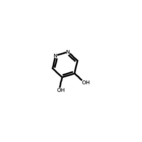 Oc1cnncc1O